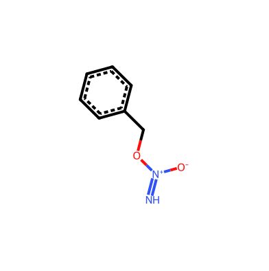 N=[N+]([O-])OCc1ccccc1